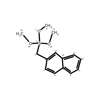 CO[Si](Cc1ccc2ccccc2c1)(OC)OC